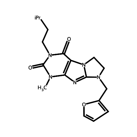 CC(C)CCn1c(=O)c2c(nc3n2CCN3Cc2ccco2)n(C)c1=O